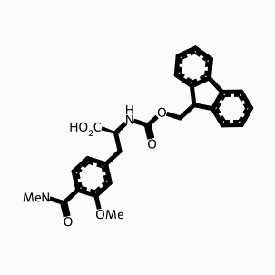 CNC(=O)c1ccc(C[C@H](NC(=O)OCC2c3ccccc3-c3ccccc32)C(=O)O)cc1OC